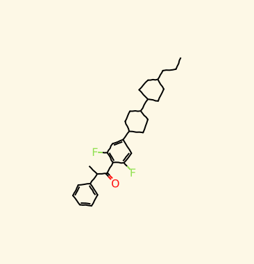 CCCC1CCC(C2CCC(c3cc(F)c(C(=O)C(C)c4ccccc4)c(F)c3)CC2)CC1